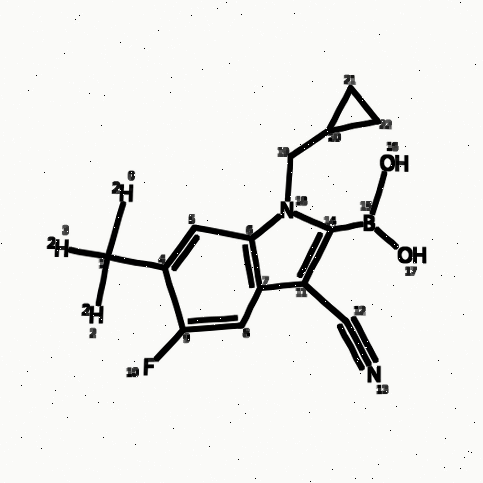 [2H]C([2H])([2H])c1cc2c(cc1F)c(C#N)c(B(O)O)n2CC1CC1